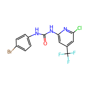 O=C(Nc1ccc(Br)cc1)Nc1cc(C(F)(F)F)cc(Cl)n1